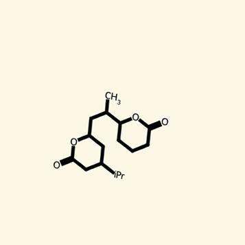 CC(C)C1CC(=O)OC(CC(C)C2CCCC(=O)O2)C1